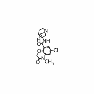 CN1C(=O)COc2c(C(=O)N[C@@H]3CN4CCC3CC4)cc(Cl)cc21